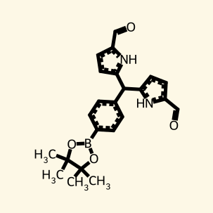 CC1(C)OB(c2ccc(C(c3ccc(C=O)[nH]3)c3ccc(C=O)[nH]3)cc2)OC1(C)C